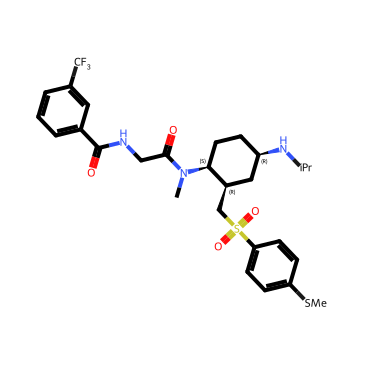 CSc1ccc(S(=O)(=O)C[C@@H]2C[C@H](NC(C)C)CC[C@@H]2N(C)C(=O)CNC(=O)c2cccc(C(F)(F)F)c2)cc1